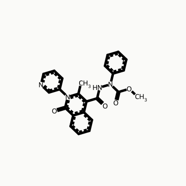 COC(=O)N(NC(=O)c1c(C)n(-c2cccnc2)c(=O)c2ccccc12)c1ccccc1